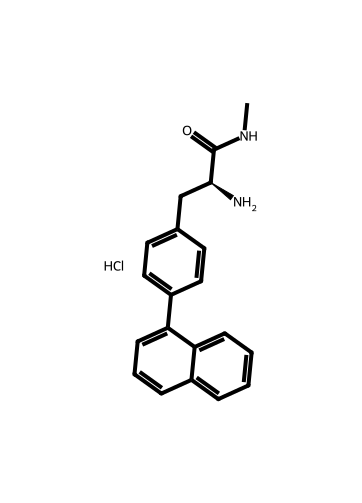 CNC(=O)[C@@H](N)Cc1ccc(-c2cccc3ccccc23)cc1.Cl